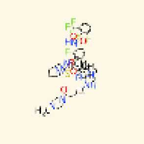 CN1CCN(C(=O)CC23CC(Nc4nccc(-c5sc(N6C7CCC6CN(C(=O)OC(C)(C)C)C7)nc5-c5cccc(NS(=O)(=O)c6c(F)cccc6C(F)(F)F)c5F)n4)(C2)C3)CC1